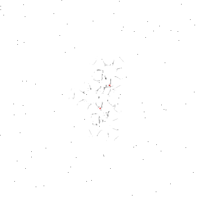 c1ccc2c(c1)-c1ccccc1N(c1ccc3c(c1)C1(c4cc(N5c6ccccc6-c6ccccc6-c6ccccc65)ccc4-c4ccccc4-3)c3ccccc3-c3ccccc31)c1ccccc1-2